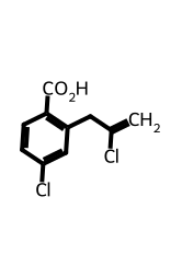 C=C(Cl)Cc1cc(Cl)ccc1C(=O)O